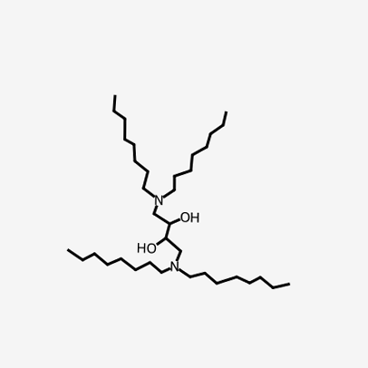 CCCCCCCCN(CCCCCCCC)CC(O)C(O)CN(CCCCCCCC)CCCCCCCC